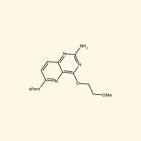 CCCCCc1ccc2nc(N)nc(OCCOC)c2n1